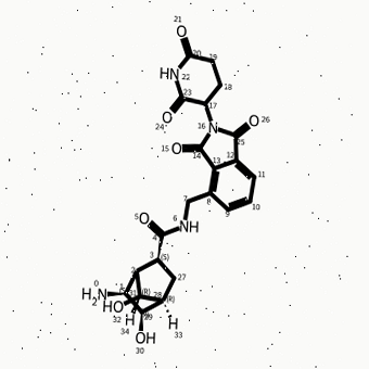 N[C@H]1C2[C@@H](C(=O)NCc3cccc4c3C(=O)N(C3CCC(=O)NC3=O)C4=O)C[C@@H]([C@H]1O)[C@@H]2O